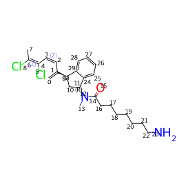 C=C(/C=C\C(Cl)=C(/C)Cl)[C@@H]1C[C@@H](N(C)C(=O)CCCCCCCN)c2ccccc21